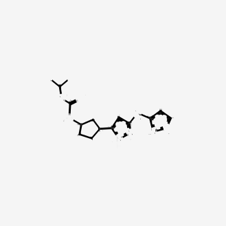 CC(C)NC(=O)OC1CCC(c2cc(Nc3ccsn3)n[nH]2)C1